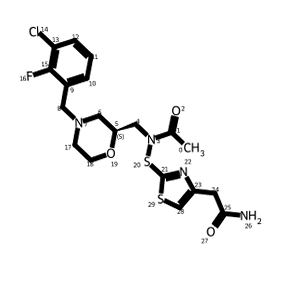 CC(=O)N(C[C@@H]1CN(Cc2cccc(Cl)c2F)CCO1)Sc1nc(CC(N)=O)cs1